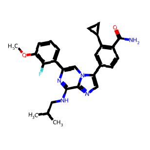 COc1cccc(-c2cn3c(-c4ccc(C(N)=O)c(C5CC5)c4)cnc3c(NCC(C)C)n2)c1F